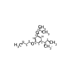 [CH2]C(C=C)c1cc(OCCCC)cc(OC(C)C)c1